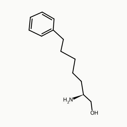 N[C@H](CO)CCCCCc1ccccc1